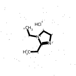 CCC1=NCCN1CC.Cl